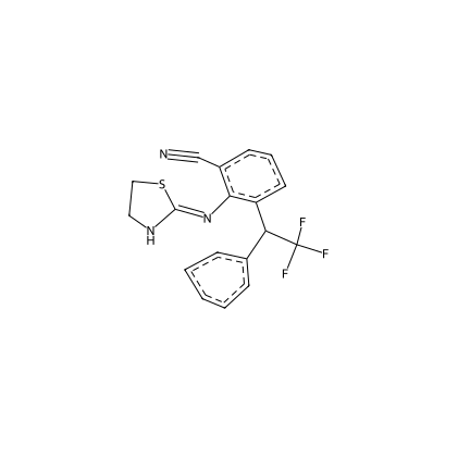 N#Cc1cccc(C(c2ccccc2)C(F)(F)F)c1N=C1NCCS1